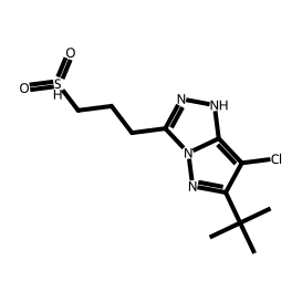 CC(C)(C)c1nn2c(CCC[SH](=O)=O)n[nH]c2c1Cl